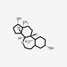 C[C@]12CC[C@H]3[C@@H](OCCC4C[C@@H](O)CC[C@@]43C)[C@@H]1CC[C@@H]2O